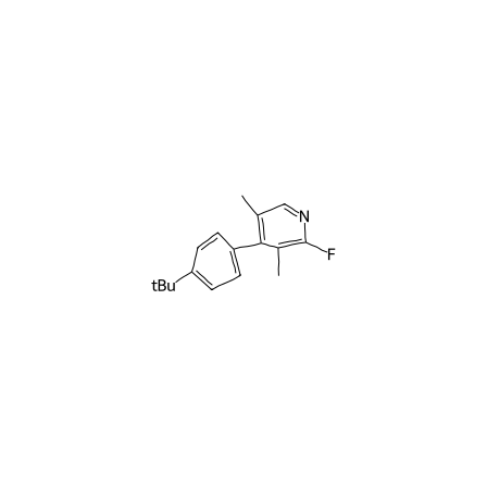 Cc1cnc(F)c(C)c1-c1ccc(C(C)(C)C)cc1